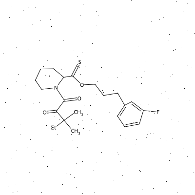 CCC(C)(C)C(=O)C(=O)N1CCCCC1C(=S)OCCCc1cccc(F)c1